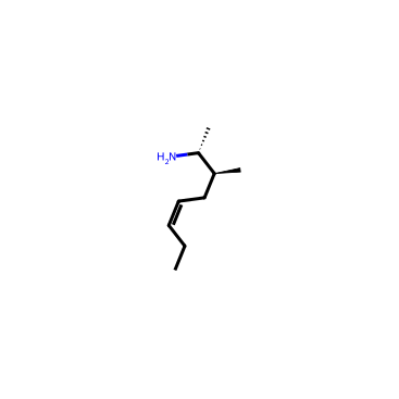 CC/C=C\C[C@H](C)[C@@H](C)N